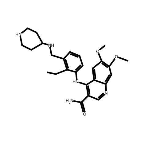 CCc1c(CNC2CCNCC2)cccc1Nc1c(C(N)=O)cnc2cc(OC)c(OC)cc12